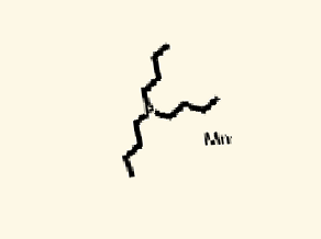 CCCCP(CCCC)CCCC.[Mn]